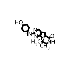 CC1(C)CNC(=O)c2cc3cnc(N[C@H]4CC[C@H](O)CC4)nc3n21